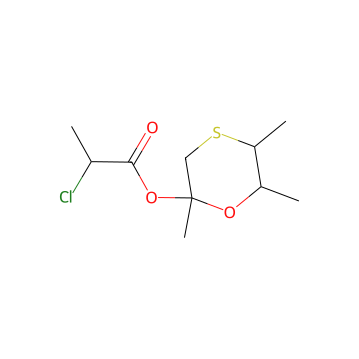 CC(Cl)C(=O)OC1(C)CSC(C)C(C)O1